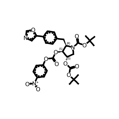 CC(C)(C)OC(=O)O[C@H]1CN(C(=O)OC(C)(C)C)[C@H](Cc2ccc(-c3cnco3)cc2)[C@@H]1OC(=O)Oc1ccc([N+](=O)[O-])cc1